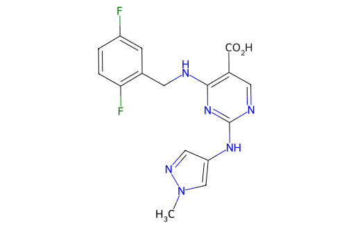 Cn1cc(Nc2ncc(C(=O)O)c(NCc3cc(F)ccc3F)n2)cn1